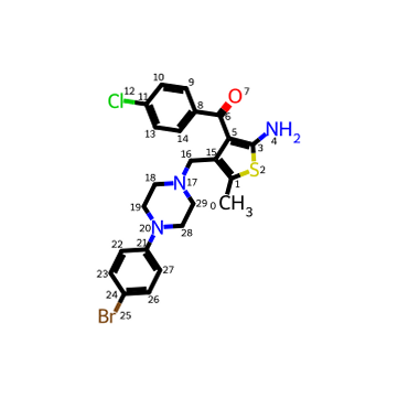 Cc1sc(N)c(C(=O)c2ccc(Cl)cc2)c1CN1CCN(c2ccc(Br)cc2)CC1